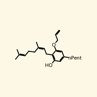 C=CCOc1cc(CCCCC)cc(O)c1CC=C(C)CCC=C(C)C